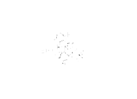 CCOC(=O)C[N+]1(C(=O)c2c(F)cccc2F)CC2(CCNCC2)c2cc(Cl)ccc21